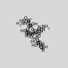 COC[C@H]1[C@@H](O)[C@H](n2c[n+](C)c3c(=O)[nH]c(N)nc32)O[C@@H]1COP(=O)(O)OP(=O)(O)OP(=O)(O)OC[C@H]1O[C@@H](n2cnc3c(N)ncnc32)[C@H](OC)[C@@H]1CC(=O)NC[C@H]1O[C@@H](n2ccc(=O)[nH]c2=O)[C@H](O)[C@@H]1O